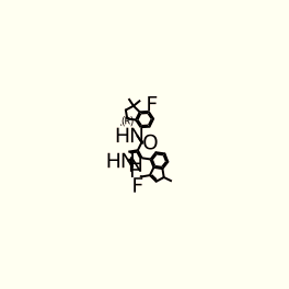 CC1C=C(C(F)F)c2c(-c3n[nH]cc3C(=O)Nc3ccc(F)c4c3[C@H](C)CC4(C)C)cccc21